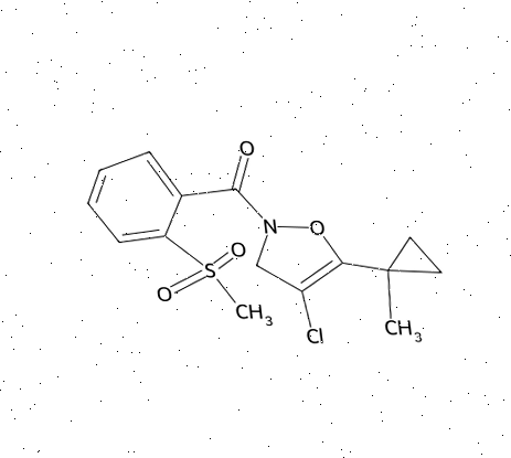 CC1(C2=C(Cl)CN(C(=O)c3ccccc3S(C)(=O)=O)O2)CC1